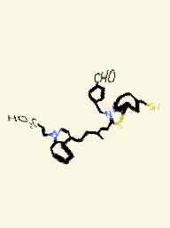 CC(/C=C/c1sc2cc(CS)ccc2[n+]1Cc1ccc(C=O)cc1)=C\C=C1/C=CN(CCC(=O)O)c2ccccc21